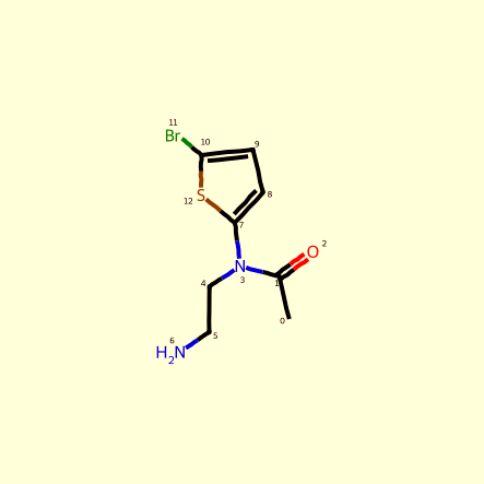 CC(=O)N(CCN)c1ccc(Br)s1